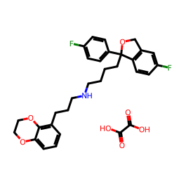 Fc1ccc(C2(CCCCNCCCc3cccc4c3OCCO4)OCc3cc(F)ccc32)cc1.O=C(O)C(=O)O